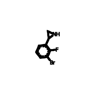 Fc1c(Br)cccc1C1CN1